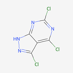 Clc1nc(Cl)c2c(Cl)n[nH]c2n1